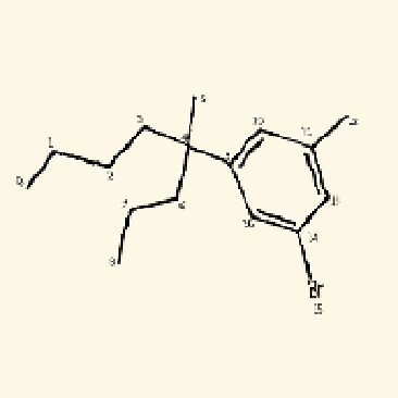 CCCCC(C)(CCC)c1cc(C)cc(Br)c1